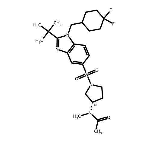 CC(=O)N(C)[C@H]1CCN(S(=O)(=O)c2ccc3c(c2)nc(C(C)(C)C)n3CC2CCC(F)(F)CC2)C1